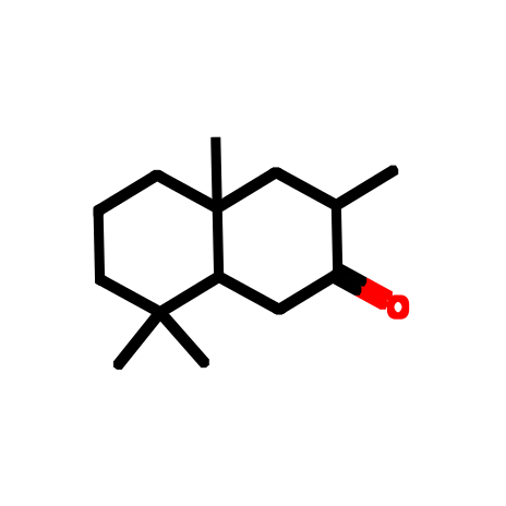 CC1CC2(C)CCCC(C)(C)C2CC1=O